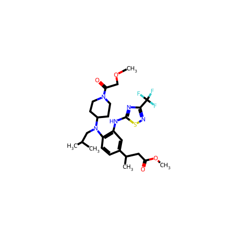 COCC(=O)N1CCC(N(CC(C)C)c2ccc(C(C)CC(=O)OC)cc2Nc2nc(C(F)(F)F)ns2)CC1